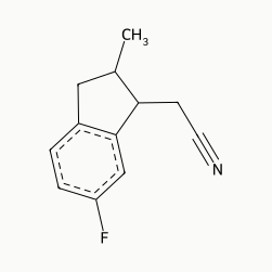 CC1Cc2ccc(F)cc2C1CC#N